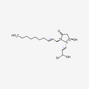 CCC(O)/C=C/[C@H]1[C@H](O)CC(=O)[C@@H]1C/C=C/CCCCCCC(=O)O